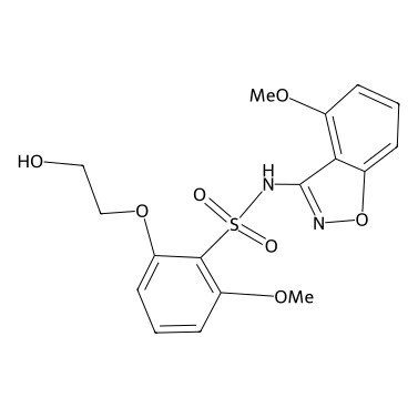 COc1cccc(OCCO)c1S(=O)(=O)Nc1noc2cccc(OC)c12